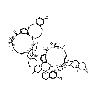 CO[C@]1(CN2CCCN(C(C)CC3Oc4ccc5cc4N(C[C@@H]4CC[C@H]4[C@](CN4CCN6CC[C@@H](F)C[C@H]6C4)(OC)/C=C/C[C@H](C)[C@@H](C)S(=O)(=O)NC5=O)C[C@@]34CCCc3cc(Cl)ccc34)CC2)/C=C/C[C@H](C)[C@@H](C)S(=O)(=O)NC(=O)c2ccc3c(c2)N(CCCCc2cc(Cl)ccc2CO3)C[C@@H]2CC[C@H]21